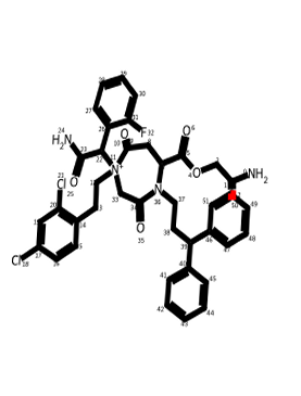 NC(=O)COC(=O)C1CC(=O)[N+](CCc2ccc(Cl)cc2Cl)(C(C(N)=O)c2ccccc2F)CC(=O)N1CCC(c1ccccc1)c1ccccc1